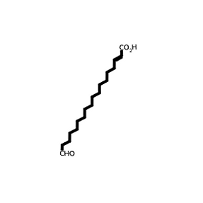 O=CCCCCCCCCCCCCCCC=CC(=O)O